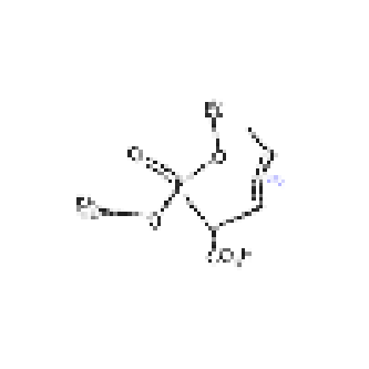 C/C=C\C(C(=O)O)P(=O)(OCC)OCC